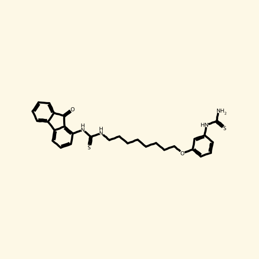 NC(=S)Nc1cccc(OCCCCCCCCNC(=S)Nc2cccc3c2C(=O)c2ccccc2-3)c1